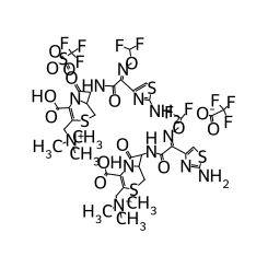 C[N+](C)(C)CC1=C(C(=O)O)N2C(=O)C(NC(=O)C(=NOC(F)F)c3csc(N)n3)C2CS1.C[N+](C)(C)CC1=C(C(=O)O)N2C(=O)C(NC(=O)C(=NOC(F)F)c3csc(N)n3)C2CS1.O=C([O-])C(F)(F)F.O=S(=O)([O-])C(F)(F)F